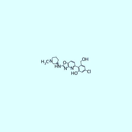 CN1CCC[C@@H](Nc2nc3nc(-c4c(O)cc(Cl)cc4CO)ccc3o2)C1